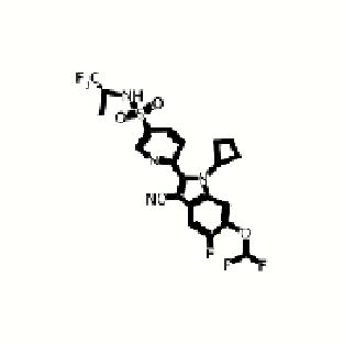 C[C@H](NS(=O)(=O)c1ccc(-c2c(C#N)c3cc(F)c(OC(F)F)cc3n2C2CCC2)nc1)C(F)(F)F